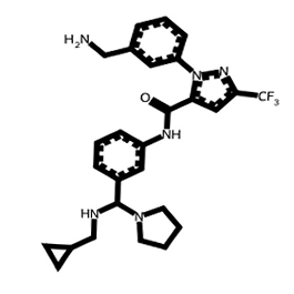 NCc1cccc(-n2nc(C(F)(F)F)cc2C(=O)Nc2cccc(C(NCC3CC3)N3CCCC3)c2)c1